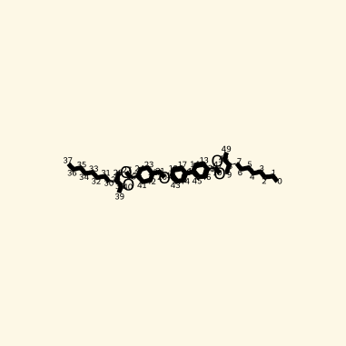 CCCCCCCC[C@@H]1CO[C@@H](c2ccc(-c3ccc(OCC4CCC([C@@H]5OC[C@@H](CCCCCCCC)C(C)O5)CC4)cc3)cc2)OC1C